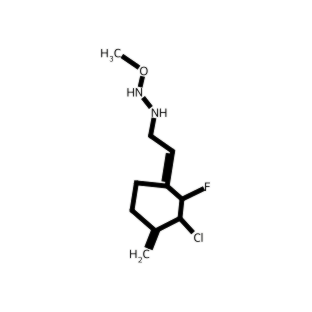 C=C1CC/C(=C\CNNOC)C(F)C1Cl